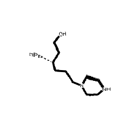 CCC[C@H](CCO)CCCN1CCNCC1